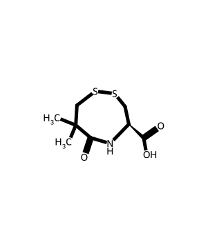 CC1(C)CSSC[C@@H](C(=O)O)NC1=O